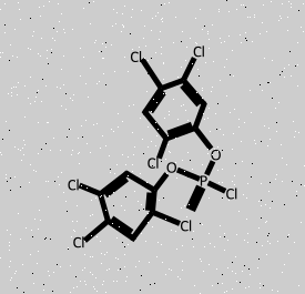 C=P(Cl)(Oc1cc(Cl)c(Cl)cc1Cl)Oc1cc(Cl)c(Cl)cc1Cl